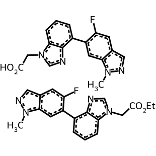 CCOC(=O)Cn1cnc2c(-c3cc4c(cnn4C)cc3F)cccc21.Cn1ncc2cc(F)c(-c3cccc4c3ncn4CC(=O)O)cc21